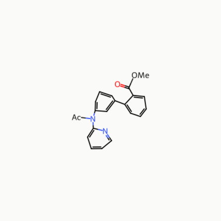 COC(=O)c1ccccc1-c1cccc(N(C(C)=O)c2ccccn2)c1